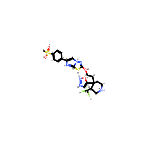 CS(=O)(=O)c1ccc(-c2cn3nc(OCCC4(c5cnno5)CCNCC4C(F)(F)F)sc3n2)cc1